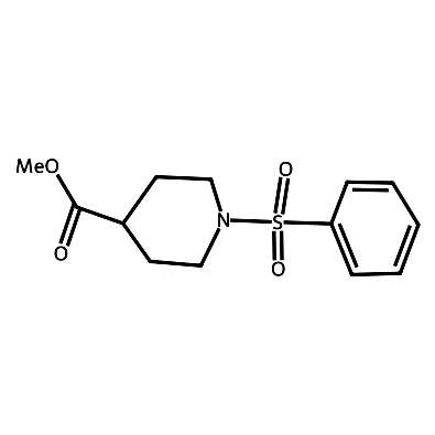 COC(=O)C1CCN(S(=O)(=O)c2ccccc2)CC1